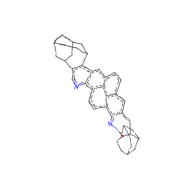 C1=c2cc3ccc4cc5c6c(cnc5c5ccc(c2=NC2C7CC8CC(CC(C8)C12)C7)c3c45)C1CC2CC(C1)CC6C2